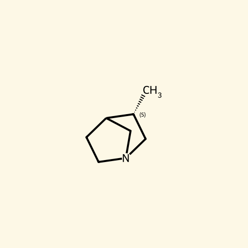 C[C@@H]1CN2CCC1C2